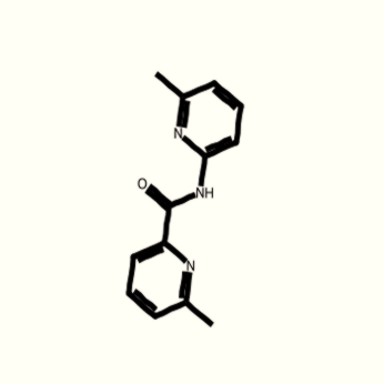 Cc1cccc(NC(=O)c2cccc(C)n2)n1